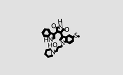 CSc1ccc2c(c1)c(C1=C(c3c[nH]c4ccccc34)C(=O)NC1=O)cn2CC(O)CN1CCCCC1